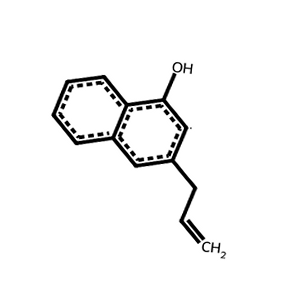 C=CCc1[c]c(O)c2ccccc2c1